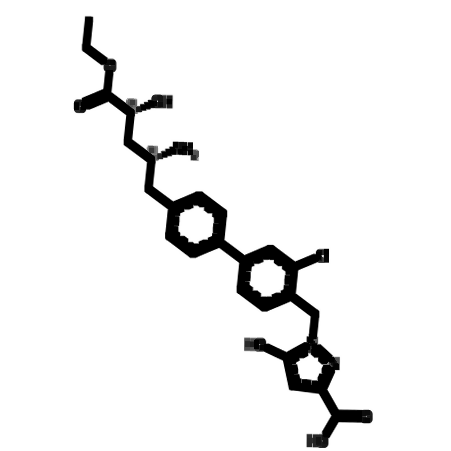 CCOC(=O)[C@H](O)C[C@H](N)Cc1ccc(-c2ccc(Cn3nc(C(=O)O)cc3O)c(Cl)c2)cc1